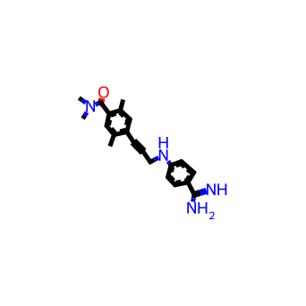 Cc1cc(C(=O)N(C)C)c(C)cc1C#CCNc1ccc(C(=N)N)cc1